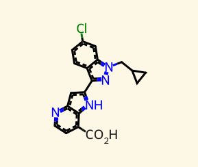 O=C(O)c1ccnc2cc(-c3nn(CC4CC4)c4cc(Cl)ccc34)[nH]c12